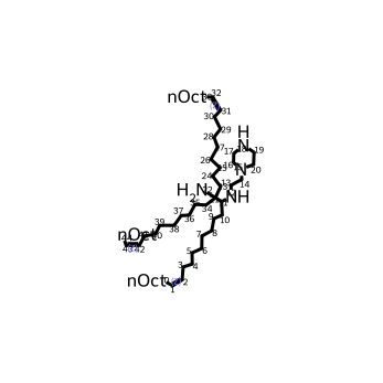 CCCCCCCC/C=C\CCCCCCCCC(NCCN1CCNCC1)C(N)(CCCCCCCC/C=C\CCCCCCCC)CCCCCCCC/C=C\CCCCCCCC